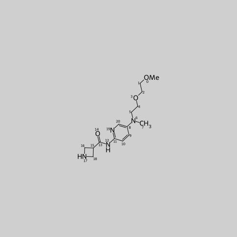 COCCOCCN(C)c1ccc(NC(=O)C2CNC2)nc1